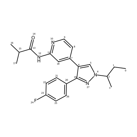 CCC(C)n1cc(-c2ccnc(NC(=O)C(C)C)c2)c(-c2ccc(F)cc2)n1